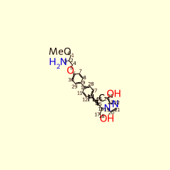 COCC(N)COc1ccc(-c2ccc(C#CC(CO)n3ccnc3C(C)O)cc2)cc1